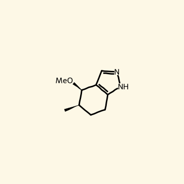 CO[C@H]1c2cn[nH]c2CC[C@H]1C